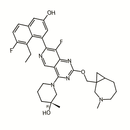 CCc1c(F)ccc2cc(O)cc(-c3ncc4c(N5CCC[C@@](C)(O)C5)nc(OCC56CC5CCCN(C)C6)nc4c3F)c12